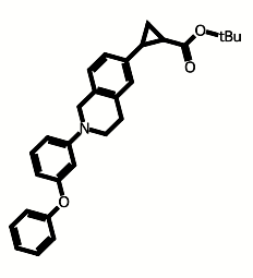 CC(C)(C)OC(=O)C1CC1c1ccc2c(c1)CCN(c1cccc(Oc3ccccc3)c1)C2